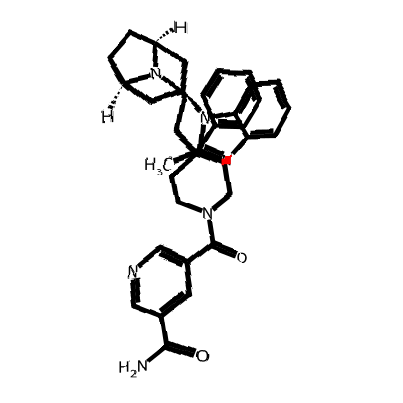 Cc1nc2ccccc2n1[C@H]1C[C@H]2CC[C@@H](C1)N2CCC1(c2ccccc2)CCN(C(=O)c2cncc(C(N)=O)c2)CC1